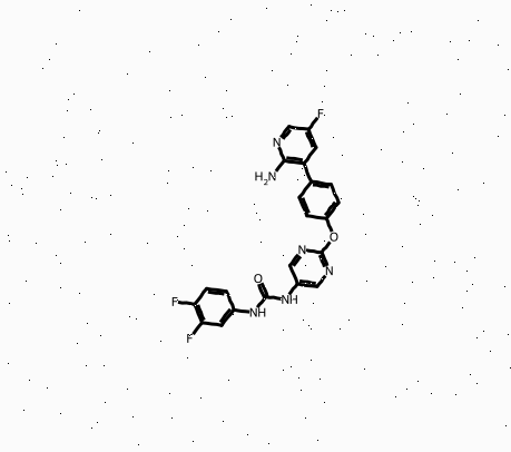 Nc1ncc(F)cc1-c1ccc(Oc2ncc(NC(=O)Nc3ccc(F)c(F)c3)cn2)cc1